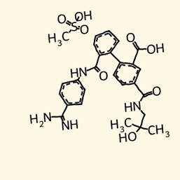 CC(C)(O)CNC(=O)c1ccc(-c2ccccc2C(=O)Nc2ccc(C(=N)N)cc2)c(C(=O)O)c1.CS(=O)(=O)O